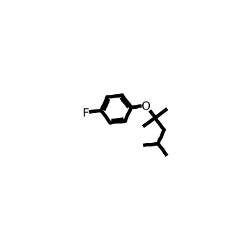 CC(C)CC(C)(C)Oc1ccc(F)cc1